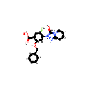 O=C(O)c1cc(F)c(-n2nc3ccccn3c2=O)cc1OCc1ccccc1